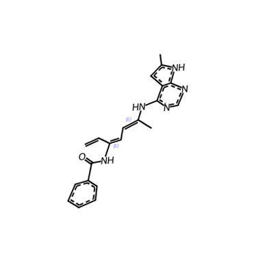 C=C/C(=C\C=C(/C)Nc1ncnc2[nH]c(C)cc12)NC(=O)c1ccccc1